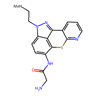 CNCCn1nc2c3c(c(NC(=O)CN)ccc31)Sc1ncccc1-2